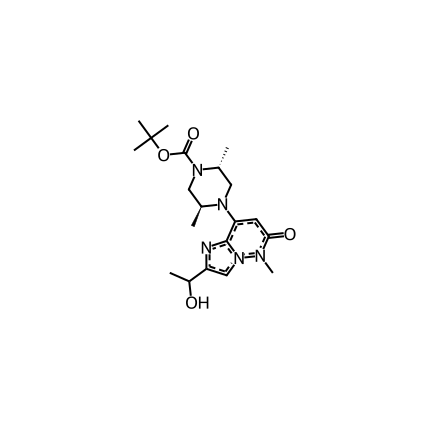 CC(O)c1cn2c(n1)c(N1C[C@@H](C)N(C(=O)OC(C)(C)C)C[C@@H]1C)cc(=O)n2C